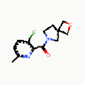 Cc1ccc(Cl)c(C(=O)N2CCC3(COC3)C2)n1